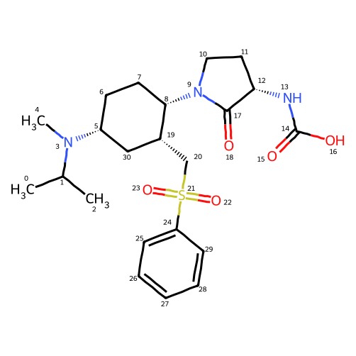 CC(C)N(C)[C@@H]1CC[C@H](N2CC[C@H](NC(=O)O)C2=O)[C@H](CS(=O)(=O)c2ccccc2)C1